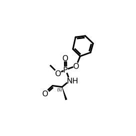 COP(=O)(N[C@@H](C)C=O)Oc1ccccc1